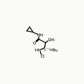 CCCC[C@H](NCl)C(O)C(=O)NC1CC1